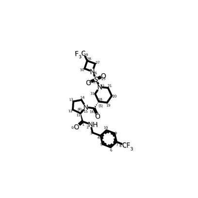 O=C(NCc1ccc(C(F)(F)F)cc1)[C@H]1CCCN1C(=O)[C@H]1CCCN(S(=O)(=O)N2CC(C(F)(F)F)C2)C1